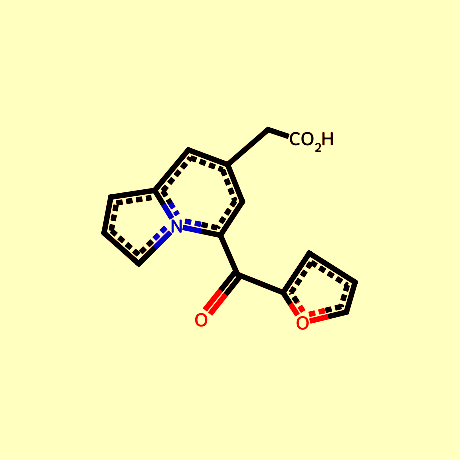 O=C(O)Cc1cc(C(=O)c2ccco2)n2cccc2c1